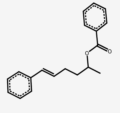 CC(CCC=Cc1ccccc1)OC(=O)c1ccccc1